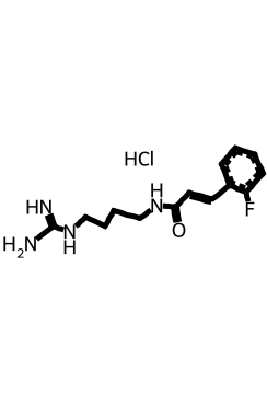 Cl.N=C(N)NCCCCNC(=O)/C=C/c1ccccc1F